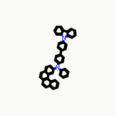 c1ccc(N(c2ccc(-c3ccc(-n4c5ccccc5c5ccccc54)cc3)cc2)c2ccc3ccc4ccc5ccccc5c4c3c2)cc1